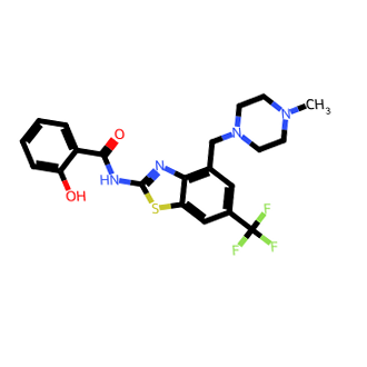 CN1CCN(Cc2cc(C(F)(F)F)cc3sc(NC(=O)c4ccccc4O)nc23)CC1